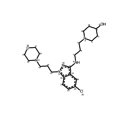 OC1CCN(CCCNc2nn(CCCN3CCOCC3)c3ccc(Cl)cc23)CC1